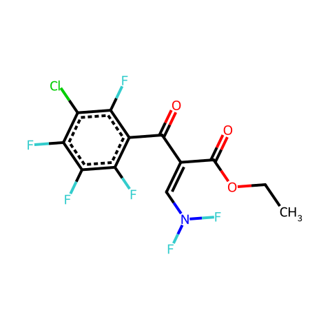 CCOC(=O)C(=CN(F)F)C(=O)c1c(F)c(F)c(F)c(Cl)c1F